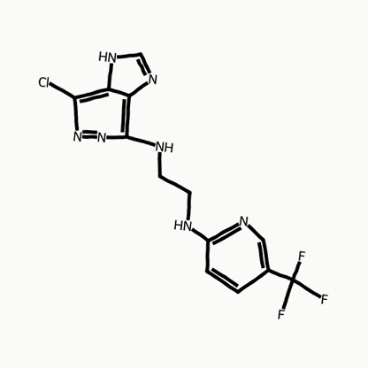 FC(F)(F)c1ccc(NCCNc2nnc(Cl)c3[nH]cnc23)nc1